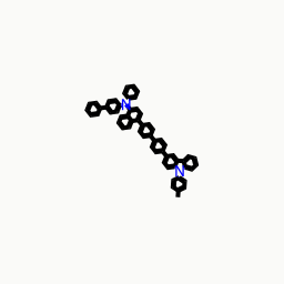 Cc1ccc(-n2c3ccccc3c3cc(-c4ccc(-c5ccc(-c6ccc(N(c7ccccc7)c7ccc(-c8ccccc8)cc7)c7ccccc67)cc5)cc4)ccc32)cc1